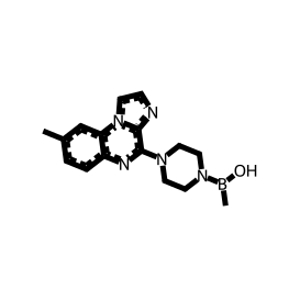 CB(O)N1CCN(c2nc3ccc(C)cc3n3ccnc23)CC1